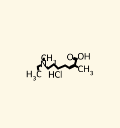 CCN(C)CCCCC=C(C)C(=O)O.Cl